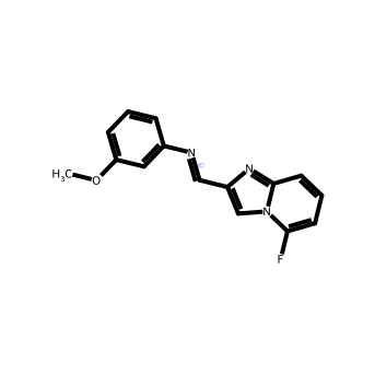 COc1cccc(/N=C/c2cn3c(F)cccc3n2)c1